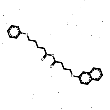 O=C(CCCCOc1ccccc1)OC(=O)CCCOc1ccc2ccccc2c1